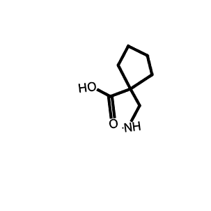 [NH]CC1(C(=O)O)CCCC1